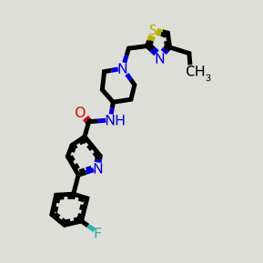 CCc1csc(CN2CCC(NC(=O)c3ccc(-c4cccc(F)c4)nc3)CC2)n1